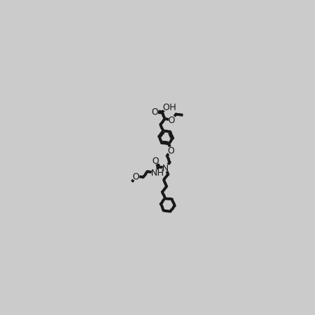 CCOC(Cc1ccc(OCCN(CCCCC2CCCCC2)C(=O)NCCOC)cc1)C(=O)O